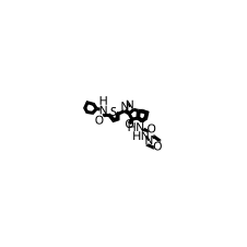 O=C(Nc1cccc2c1C(=O)C1=C(c3ccc(C(=O)NC4CCCCC4)s3)N=NC12)NN1CCOCC1